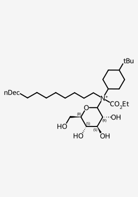 CCCCCCCCCCCCCCCCCC[N+](C(=O)OCC)(C1CCC(C(C)(C)C)CC1)C1O[C@H](CO)[C@@H](O)[C@H](O)[C@H]1O